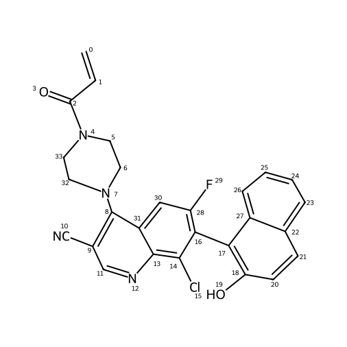 C=CC(=O)N1CCN(c2c(C#N)cnc3c(Cl)c(-c4c(O)ccc5ccccc45)c(F)cc23)CC1